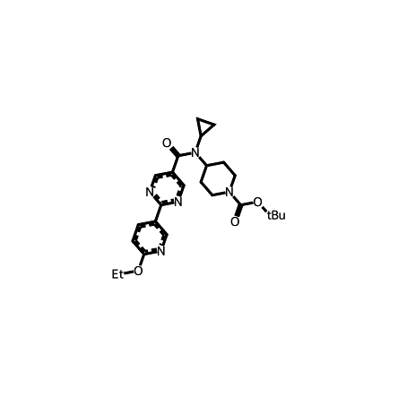 CCOc1ccc(-c2ncc(C(=O)N(C3CC3)C3CCN(C(=O)OC(C)(C)C)CC3)cn2)cn1